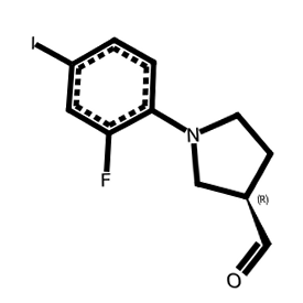 O=C[C@@H]1CCN(c2ccc(I)cc2F)C1